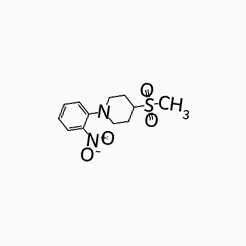 CS(=O)(=O)C1CCN(c2ccccc2[N+](=O)[O-])CC1